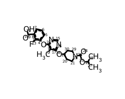 Cc1c(Oc2cccc(C(=O)O)c2F)ncnc1OC1CCN(C(=O)OC(C)C)CC1